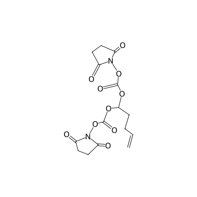 C=CCCC(OC(=O)ON1C(=O)CCC1=O)OC(=O)ON1C(=O)CCC1=O